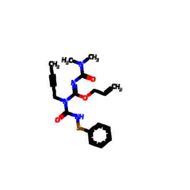 C=CCOC(=NC(=O)N(C)C)N(CC#CC)C(=O)NSc1ccccc1